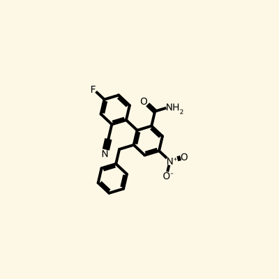 N#Cc1cc(F)ccc1-c1c(Cc2ccccc2)cc([N+](=O)[O-])cc1C(N)=O